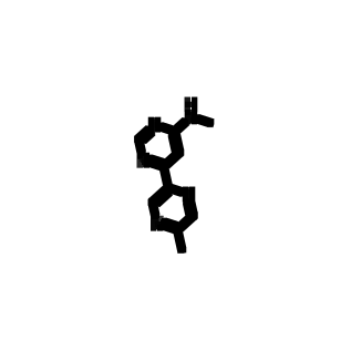 CNc1cc(-c2cnc(C)cn2)ncn1